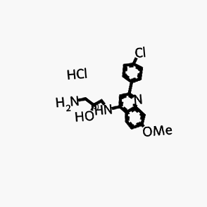 COc1ccc2c(NC[C@@H](O)CN)cc(-c3ccc(Cl)cc3)nc2c1.Cl